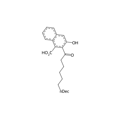 CCCCCCCCCCCCCCCC(=O)c1c(O)cc2ccccc2c1C(=O)O